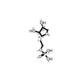 O=P(O)(O)OCC[C@H]1OC[C@H](O)C1O